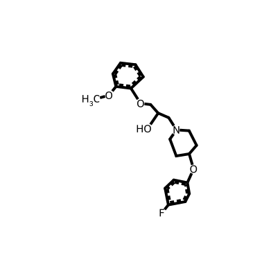 COc1ccccc1OCC(O)CN1CCC(Oc2ccc(F)cc2)CC1